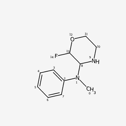 CN(c1ccccc1)C1NCCOC1F